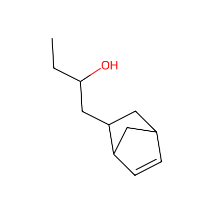 CCC(O)CC1CC2C=CC1C2